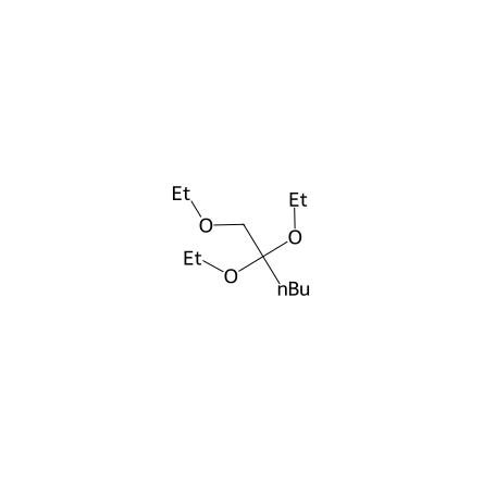 CCCCC(COCC)(OCC)OCC